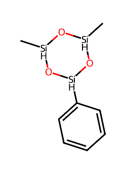 C[SiH]1O[SiH](C)O[SiH](c2ccccc2)O1